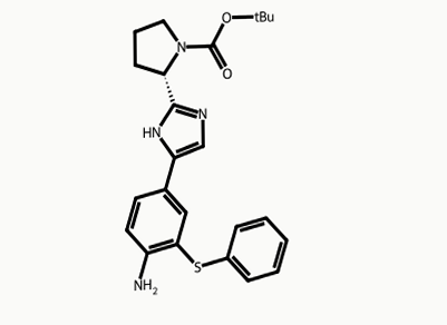 CC(C)(C)OC(=O)N1CCC[C@H]1c1ncc(-c2ccc(N)c(Sc3ccccc3)c2)[nH]1